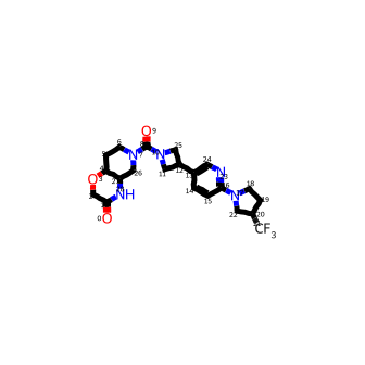 O=C1COC2CCN(C(=O)N3CC(c4ccc(N5CCC(C(F)(F)F)C5)nc4)C3)CC2N1